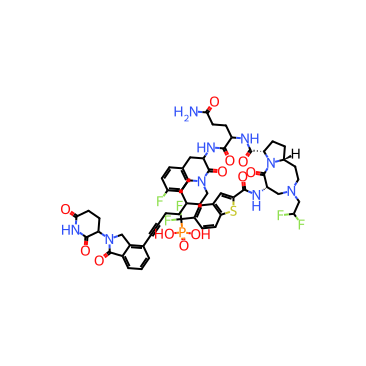 NC(=O)CCC(NC(=O)[C@@H]1CC[C@@H]2CCN(CC(F)F)C[C@H](NC(=O)c3cc4cc(C(F)(F)P(=O)(O)O)ccc4s3)C(=O)N21)C(=O)NC(Cc1ccc(F)cc1)C(=O)N1CCC(CCC#Cc2cccc3c2CN(C2CCC(=O)NC2=O)C3=O)CC1